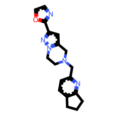 c1coc(-c2cc3n(n2)CCN(Cc2ccc4c(n2)CCC4)C3)n1